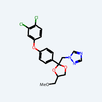 COCC1COC(Cn2cncn2)(c2ccc(Oc3ccc(Cl)c(Cl)c3)cc2)O1